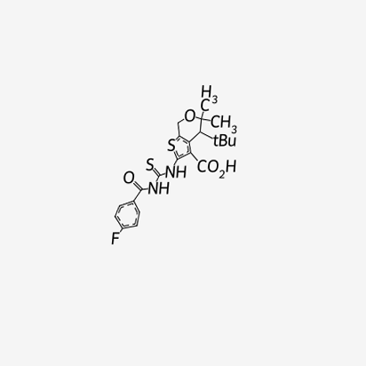 CC(C)(C)C1c2c(sc(NC(=S)NC(=O)c3ccc(F)cc3)c2C(=O)O)COC1(C)C